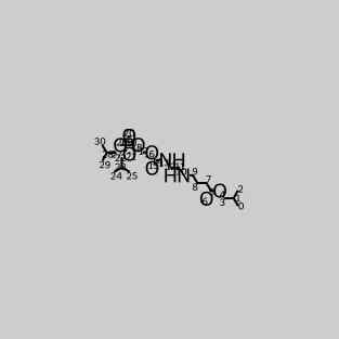 CC(C)COC(=O)CCCNCCNC(=O)OCOP(=O)(OCC(C)C)OCC(C)C